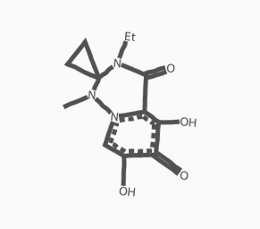 CCN1C(=O)c2c(O)c(=O)c(O)cn2N(C)C12CC2